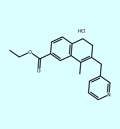 CCOC(=O)c1ccc2c(c1)C(C)=C(Cc1cccnc1)CC2.Cl